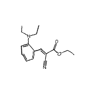 CCOC(=O)/C(C#N)=C/c1ccccc1N(CC)CC